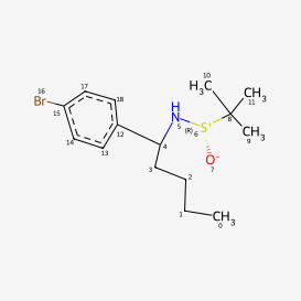 CCCCC(N[S@@+]([O-])C(C)(C)C)c1ccc(Br)cc1